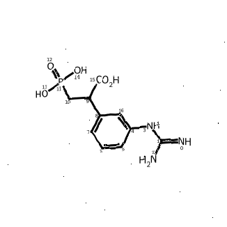 N=C(N)Nc1cccc(C(CP(=O)(O)O)C(=O)O)c1